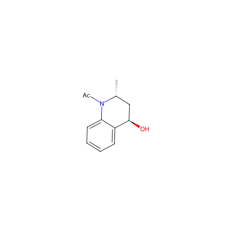 CC(=O)N1c2ccccc2[C@H](O)C[C@H]1C